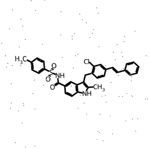 Cc1ccc(S(=O)(=O)NC(=O)c2ccc3[nH]c(C)c(Cc4ccc(C=Cc5ccccc5)cc4Cl)c3c2)cc1